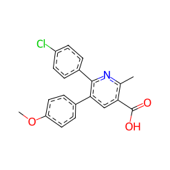 COc1ccc(-c2cc(C(=O)O)c(C)nc2-c2ccc(Cl)cc2)cc1